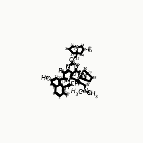 C#Cc1c(F)ccc2cc(O)cc(-c3nc(C#CCN(C)C)c4c(N5CC6CCC(C5)N6)nc(OC[C@@]56CCCN5C[C@H](F)C6)nc4c3F)c12